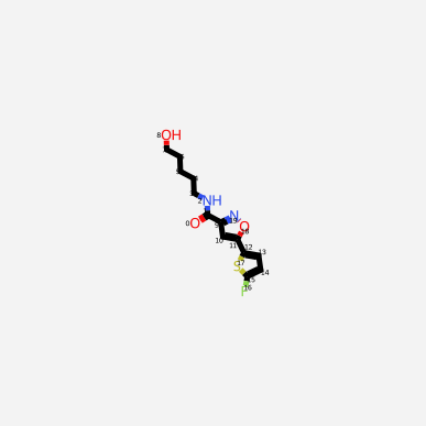 O=C(NCCCCCO)c1cc(-c2ccc(F)s2)on1